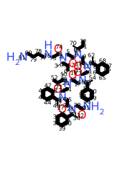 CC[C@H](C)N(CC(=O)N(CC(=O)N(CC(=O)N(CC(=O)N(CC(=O)N(CC(=O)N(CC(N)=O)[C@@H](C)c1ccccc1)[C@@H](C)c1ccccc1)[C@@H](C)CC)[C@@H](C)c1ccccc1)[C@@H](C)c1ccccc1)[C@@H](C)CC)C(=O)CNCCCCN